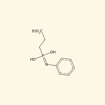 CCOC(=O)CCP(O)(O)=Nc1ccccc1